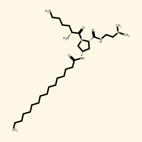 CCCCCCCCCCCCCCCC(=O)N[C@H]1C[C@@H](C(=O)NCCN(C)C)N(C(=O)[C@H](N)CCCCN)C1